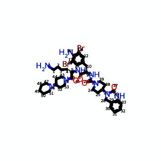 NCCCC[C@H](NC(=O)[C@@H](Cc1cc(Br)c(N)c(Br)c1)NC(=O)N1CCC(N2Cc3ccccc3NC2=O)CC1)C(=O)N1CCC(N2CCCCC2)CC1